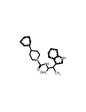 CC(c1c[nH]c2ccccc12)C(C=O)NC(=O)N1CCC(c2ccccc2)CC1